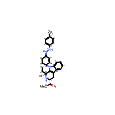 COC(=O)[C@H]1Cc2c3n(c4ccccc24)[C@@]2(C=C/C(=N\Nc4ccc(C(F)(F)F)cc4)CC2)CC[C@@H]3N1